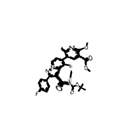 COC(=O)c1cc(-c2ccn3nc(-c4ccc(F)cc4)c(C(=O)N(C)C(=O)OC(C)(C)C)c3c2F)c(C)nc1OC